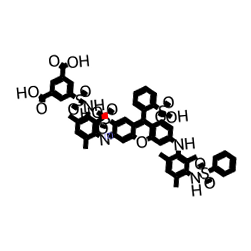 Cc1cc(C)c(NS(=O)(=O)c2cc(C(=O)O)cc(C(=O)O)c2)c(C)c1/N=c1/cc2oc3cc(Nc4c(C)cc(C)c(NS(=O)(=O)c5ccccc5)c4C)ccc3c(-c3ccccc3S(=O)(=O)O)c-2cc1S(=O)(=O)O